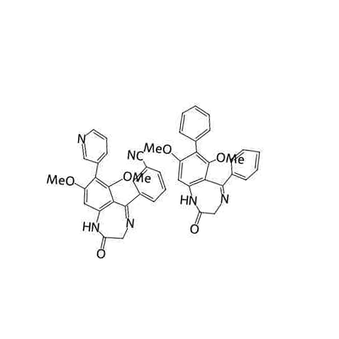 COc1cc2c(c(OC)c1-c1ccccc1)C(c1ccccc1)=NCC(=O)N2.COc1cc2c(c(OC)c1-c1cccnc1)C(c1cccc(C#N)c1)=NCC(=O)N2